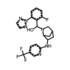 OC(c1c(F)cccc1-n1nccn1)N1CC2CC(Nc3ccc(C(F)(F)F)cn3)C1C2